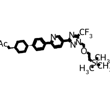 CC(=O)C[C@H]1CC[C@H](c2ccc(-c3ccc(-c4nc(C(F)(F)F)n(COCC[Si](C)(C)C)n4)cn3)cc2)CC1